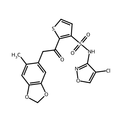 Cc1cc2c(cc1CC(=O)c1sccc1S(=O)(=O)Nc1nocc1Cl)OCO2